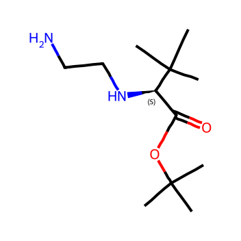 CC(C)(C)OC(=O)[C@@H](NCCN)C(C)(C)C